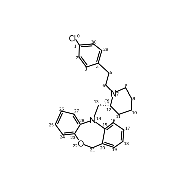 Clc1ccc(CCN2CCCC[C@@H]2CN2c3ccccc3COc3ccccc32)cc1